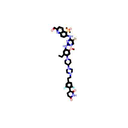 CCc1cc(Nc2ncc(Br)c(Nc3ccc4nc(C=O)ccc4c3P(C)(C)=O)n2)c(OC)cc1N1CCC(N2CCN(CCc3cc(F)c(C4CCC(=O)NC4=O)c(F)c3)CC2)CC1